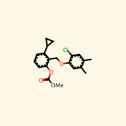 COC(=O)Oc1cccc(C2CC2)c1COc1cc(C)c(C)cc1Cl